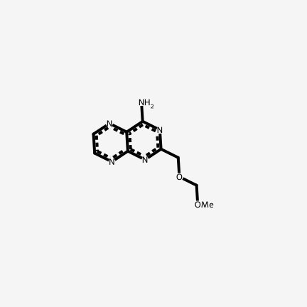 COCOCc1nc(N)c2nccnc2n1